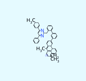 C=C(C)/C=C\C1=C2C=CC=CC2C2C=C(c3cccc(-c4ccccc4Cc4nc(C5=CCC(C)C=C5)cc(-c5ccccc5)n4)c3)C=CC2=C1C